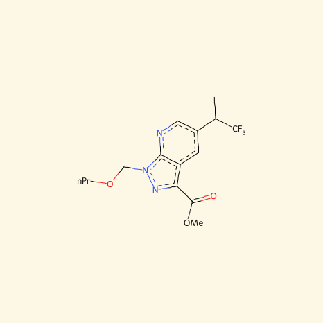 CCCOCn1nc(C(=O)OC)c2cc(C(C)C(F)(F)F)cnc21